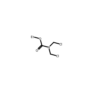 CCOC(=O)N(CCl)CCl